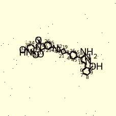 Nc1nnc(-c2ccccc2O)cc1-c1ccc(C2CC3(C2)CN(c2ccc4c(c2)C(=O)N(C2CCC(=O)NC2=O)C4=O)C3)cc1